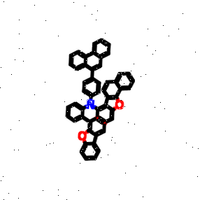 c1ccc(N(c2ccc(-c3cc4ccccc4c4ccccc34)cc2)c2cccc3oc4c5ccccc5ccc4c23)c(-c2cccc3c2oc2ccccc23)c1